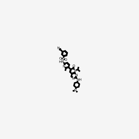 Cc1nc(NS(=O)(=O)c2cccc(C#N)c2)ccc1-c1cc2cnc(NC3CCC(N(C)C)CC3)nc2n(C(C)C)c1=O